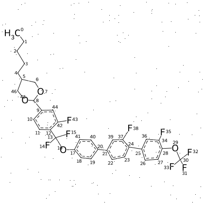 CCCCCC1COC(c2ccc(C(F)(F)Oc3ccc(-c4ccc(-c5ccc(OC(F)(F)F)c(F)c5)c(F)c4)cc3)c(F)c2)OC1